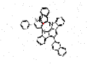 c1ccc(-c2cc(-n3c4ccccc4c4c(-c5ccc6ccccc6c5)cc5c6ccccc6n(-c6ccccc6)c5c43)cc(-c3ccccc3)n2)cc1